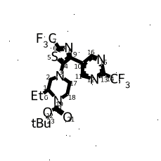 CCC1CN(c2sc(C(F)(F)F)nc2-c2cnc(C(F)(F)F)nc2)CCN1C(=O)OC(C)(C)C